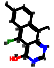 Cc1ccc2c(C)c3ncnc(O)c3c(F)c2c1